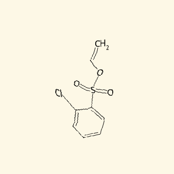 C=COS(=O)(=O)c1ccccc1Cl